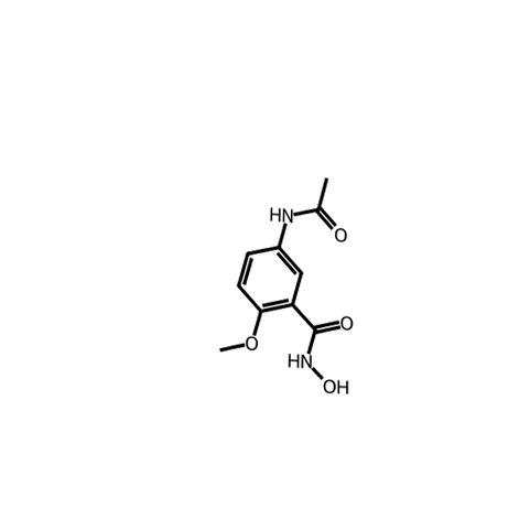 COc1ccc(NC(C)=O)cc1C(=O)NO